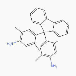 Cc1cc(C2(c3cc(C)c(N)cc3C)c3ccccc3-c3ccccc32)c(C)cc1N